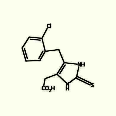 O=C(O)Cc1[nH]c(=S)[nH]c1Cc1ccccc1Cl